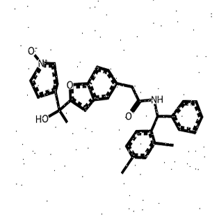 Cc1ccc(C(NC(=O)Cc2ccc3oc(C(C)(O)c4cc[n+]([O-])cc4)cc3c2)c2ccccc2)c(C)c1